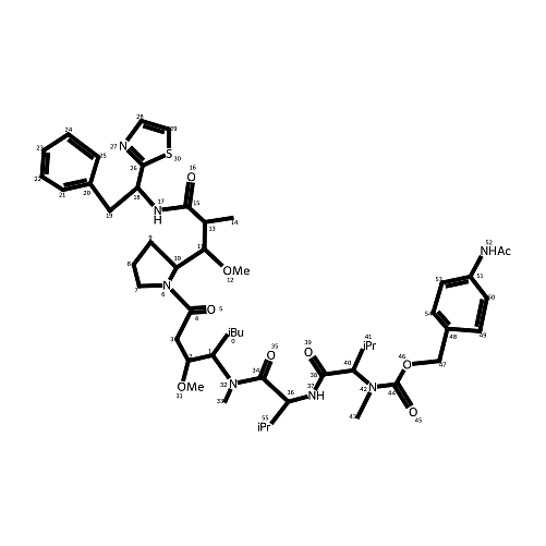 CCC(C)C(C(CC(=O)N1CCCC1C(OC)C(C)C(=O)NC(Cc1ccccc1)c1nccs1)OC)N(C)C(=O)C(NC(=O)C(C(C)C)N(C)C(=O)OCc1ccc(NC(C)=O)cc1)C(C)C